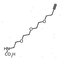 C#CCCOCCOCCOCCNC(=O)O